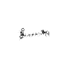 CN1CCC[C@H]1c1cn(CCOCCOCCOCCOCc2cn(C(=O)c3ccccc3)c3ccc(Cl)cc23)nn1